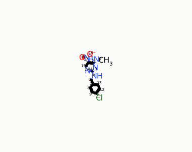 CNc1nc(NCc2ccc(Cl)cc2)ncc1[N+](=O)[O-]